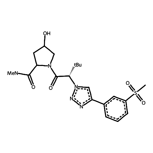 CNC(=O)C1CC(O)CN1C(=O)[C@@H](n1cc(-c2cccc(S(C)(=O)=O)c2)nn1)C(C)(C)C